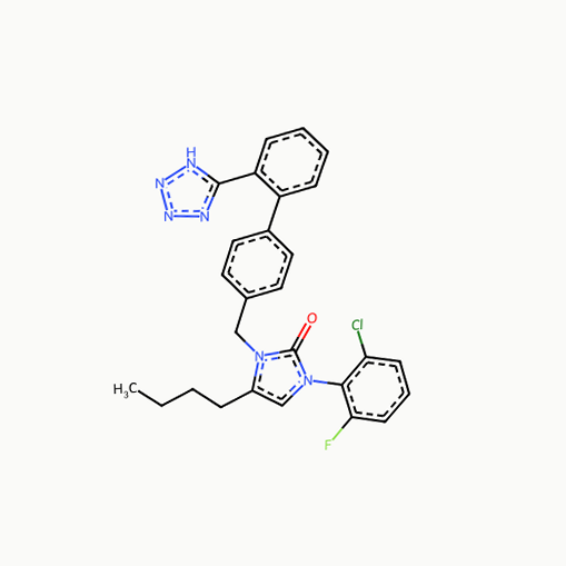 CCCCc1cn(-c2c(F)cccc2Cl)c(=O)n1Cc1ccc(-c2ccccc2-c2nnn[nH]2)cc1